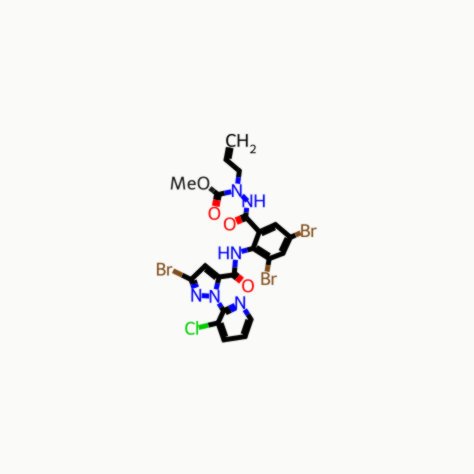 C=CCN(NC(=O)c1cc(Br)cc(Br)c1NC(=O)c1cc(Br)nn1-c1ncccc1Cl)C(=O)OC